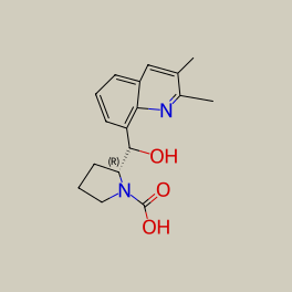 Cc1cc2cccc(C(O)[C@H]3CCCN3C(=O)O)c2nc1C